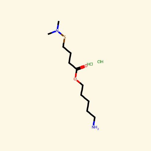 CN(C)SCCCC(=O)OCCCCCN.Cl.Cl